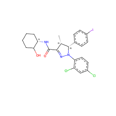 C[C@H]1C(C(=O)N[C@H]2CCCCC2O)=NN(c2ccc(Cl)cc2Cl)[C@H]1c1ccc(I)cc1